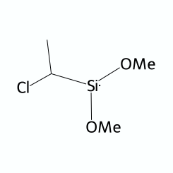 CO[Si](OC)C(C)Cl